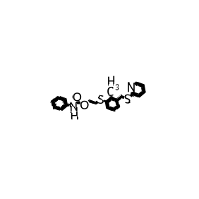 Cc1c(CSc2ccccn2)cccc1SCCOC(=O)Nc1ccccc1